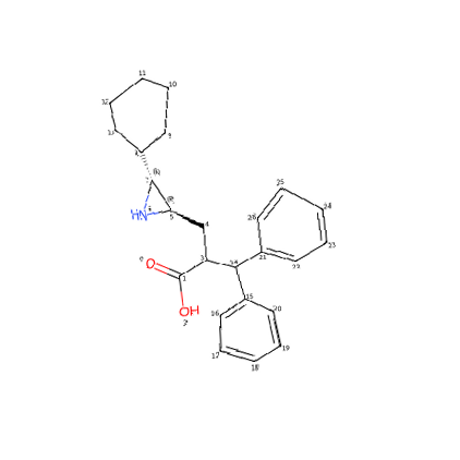 O=C(O)C(C[C@H]1N[C@@H]1C1CCCCC1)C(c1ccccc1)c1ccccc1